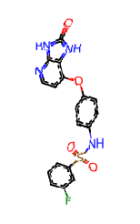 O=c1[nH]c2nccc(Oc3ccc(NS(=O)(=O)c4cccc(F)c4)cc3)c2[nH]1